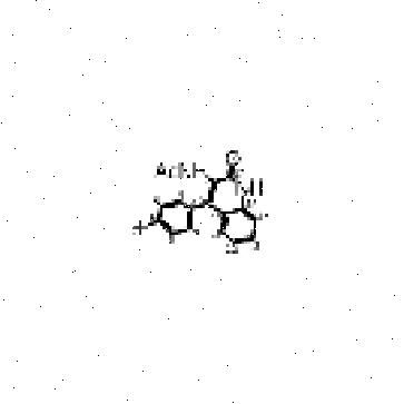 CC(=O)Nc1c(-c2ccc(F)cc2)c2ccccc2[nH]c1=O